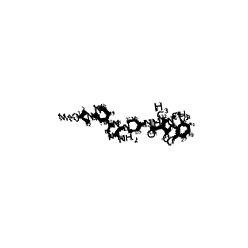 COC1CN(c2cc(-c3cnc(N)c(N4CCC(NC(=O)c5c(C)n(C)n(-c6c(Cl)cccc6Cl)c5=O)CC4)n3)ccn2)C1